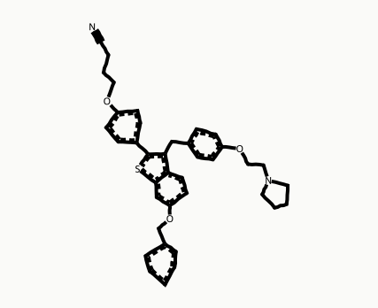 N#CCCCOc1ccc(-c2sc3cc(OCc4ccccc4)ccc3c2Cc2ccc(OCCN3CCCC3)cc2)cc1